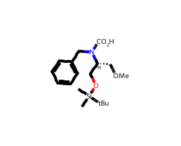 COC[C@H](CO[Si](C)(C)C(C)(C)C)N(Cc1ccccc1)C(=O)O